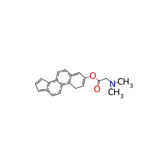 CN(C)CC(=O)OC1=CCc2c(ccc3c4c(ccc23)=CC=C4)=C1